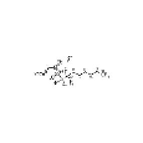 CCN(CC(=O)[O-])S(=O)(=O)C(F)(F)C(F)(F)CCCCCC(F)(F)F.[K+]